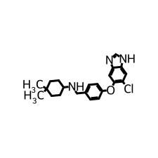 CC1(C)CCC(NCc2ccc(Oc3cc4nc[nH]c4cc3Cl)cc2)CC1